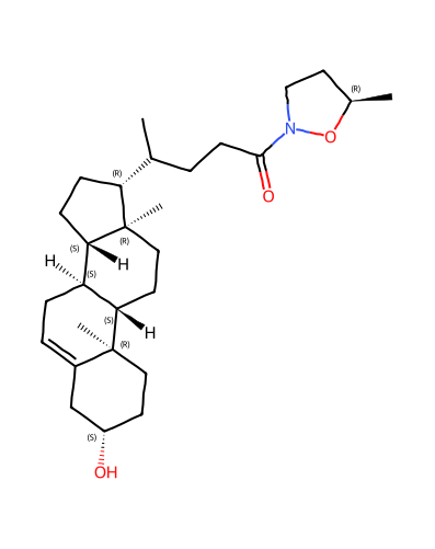 CC(CCC(=O)N1CC[C@@H](C)O1)[C@H]1CC[C@H]2[C@@H]3CC=C4C[C@@H](O)CC[C@]4(C)[C@H]3CC[C@]12C